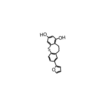 Oc1cc(O)c2c(c1)Sc1ccc(-c3ccco3)cc1CC2